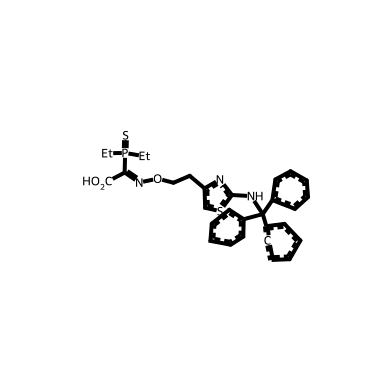 CCP(=S)(CC)C(=NOCCc1csc(NC(c2ccccc2)(c2ccccc2)c2ccccc2)n1)C(=O)O